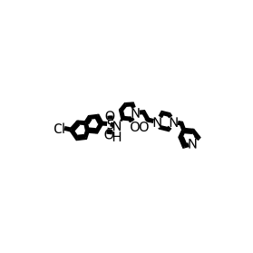 O=C(CN1CCC[C@H](NS(=O)(=O)c2ccc3cc(Cl)ccc3c2)C1=O)N1CCN(Cc2ccncc2)CC1